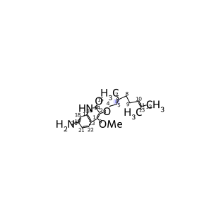 COc1c(OC/C=C(\C)CCC=C(C)C)c(=O)[nH]c2cc(N)ccc12